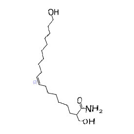 NC(=O)C(CO)CCCCCC/C=C\CCCCCCCCCO